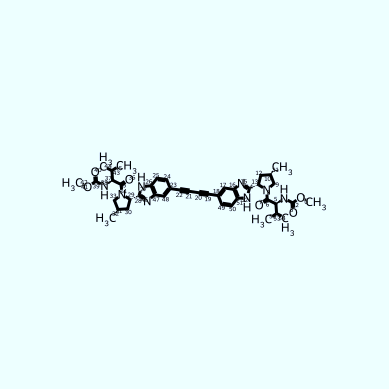 COC(=O)N[C@H](C(=O)N1C[C@@H](C)C[C@H]1c1nc2cc(C#CC#Cc3ccc4[nH]c([C@@H]5C[C@H](C)CN5C(=O)[C@@H](NC(=O)OC)C(C)C)nc4c3)ccc2[nH]1)C(C)C